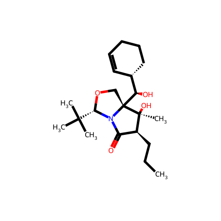 CCC[C@H]1C(=O)N2[C@H](C(C)(C)C)OC[C@@]2([C@H](O)[C@@H]2C=CCCC2)[C@@]1(C)O